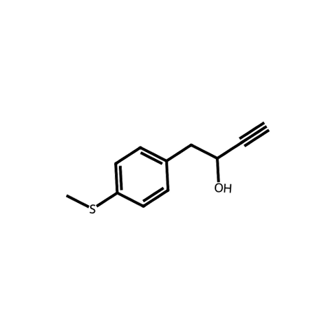 C#CC(O)Cc1ccc(SC)cc1